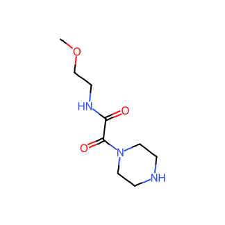 COCCNC(=O)C(=O)N1CCNCC1